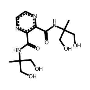 CC(CO)(CO)NC(=O)c1nccnc1C(=O)NC(C)(CO)CO